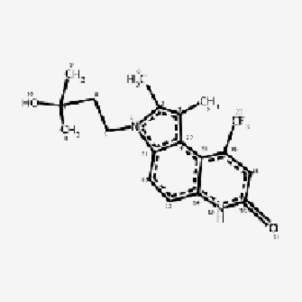 Cc1c(C)n(CCC(C)(C)O)c2ccc3[nH]c(=O)cc(C(F)(F)F)c3c12